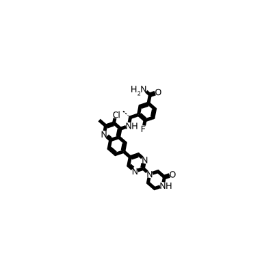 Cc1nc2ccc(-c3cnc(N4CCNC(=O)C4)nc3)cc2c(N[C@H](C)c2cc(C(N)=O)ccc2F)c1Cl